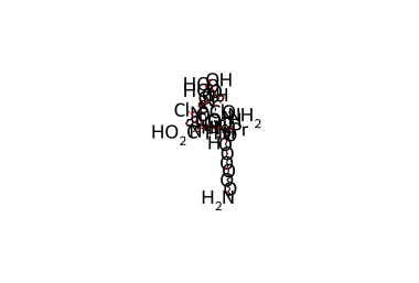 CC(C)[C@H](NC(=O)CCOCCOCCOCCOCCOCCOCCN)C(=O)N[C@@H](CCCNC(N)=O)C(=O)Nc1ccc(CC(CN(C)C(=O)O)(c2cc3c(c4ccccc24)[C@H](CCl)CN3C(=O)c2ccc(C(=O)N3C[C@@H](CCl)c4c3cc(O[C@@H]3O[C@H](CO)[C@H](O)[C@@H](O)[C@@H]3O)c3ccccc43)s2)N(C)C(=O)O)cc1